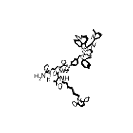 Cc1cccc(-c2nc(CN(Cc3ccccc3)C(=O)OCc3ccc(NC(=O)[C@H](CCCNC(N)=O)NC(=O)C(NC(=O)CCCCCN4C(=O)C=CC4=O)C(C)C)cc3)[nH]c2-c2ccnc3ccccc23)n1